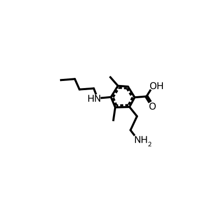 CCCCNc1c(C)cc(C(=O)O)c(CCN)c1C